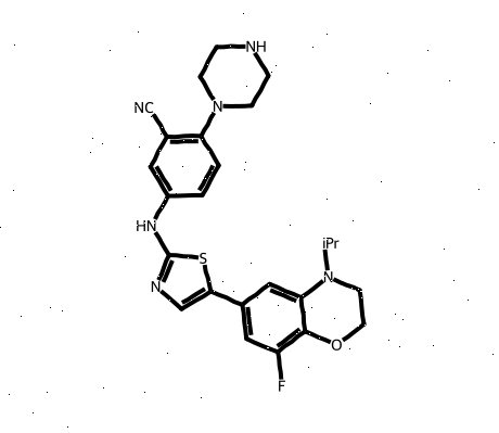 CC(C)N1CCOc2c(F)cc(-c3cnc(Nc4ccc(N5CCNCC5)c(C#N)c4)s3)cc21